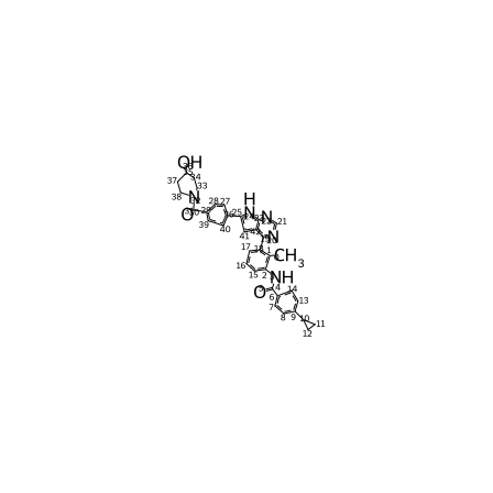 Cc1c(NC(=O)c2ccc(C3CC3)cc2)cccc1-c1ncnc2[nH]c(-c3ccc(C(=O)N4CCC(O)CC4)cc3)cc12